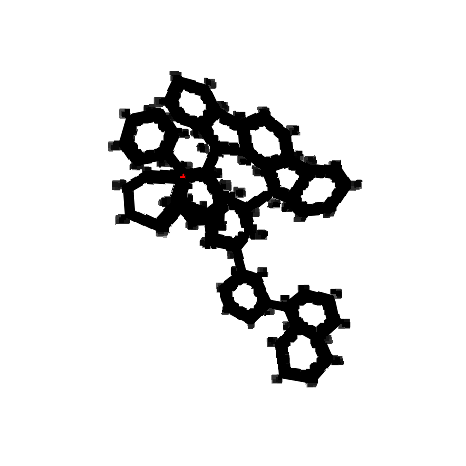 C1=CC(c2nc(-c3cccc(-c4cccc5ccccc45)c3)nc(-n3c4ccccc4c4ccc5c6ccccc6n(-c6ccccc6-c6ccccc6)c5c43)n2)=CCC1